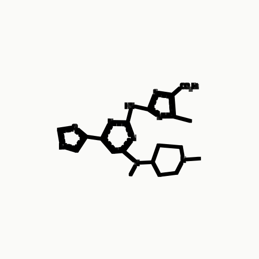 CCOC(=O)c1sc(Nc2nc(-c3cnco3)cc(N(C)C3CCN(C)CC3)n2)nc1C